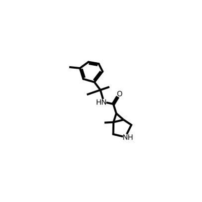 Cc1cccc(C(C)(C)NC(=O)C2C3CNCC32C)c1